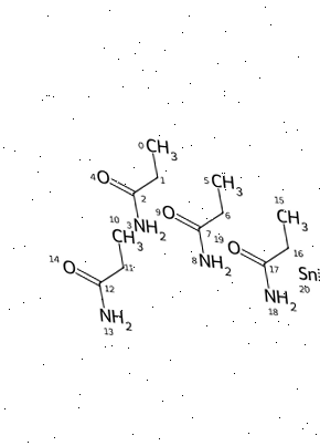 CCC(N)=O.CCC(N)=O.CCC(N)=O.CCC(N)=O.[Sn]